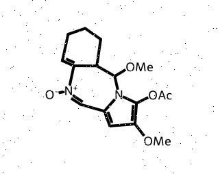 COc1cc2n(c1OC(C)=O)C(OC)C1CCCC=C1[N+]([O-])=C2